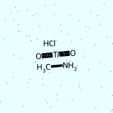 CN.Cl.[O]=[Ti]=[O]